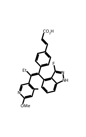 CCC(=C(c1ccc(C=CC(=O)O)cc1)c1cccc2[nH]nc(F)c12)c1cnc(OC)cc1C